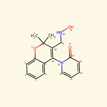 CC1(C)Oc2ccccc2C(n2ccccc2=O)=C1CNO